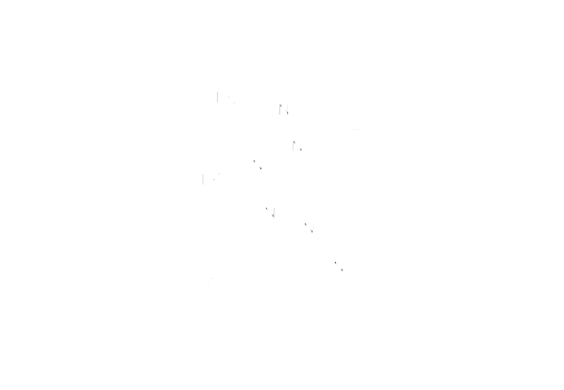 CCc1nc2c(C)cc(C)nc2n1Cc1cnc(-c2cc(Cl)ccc2C#N)nc1